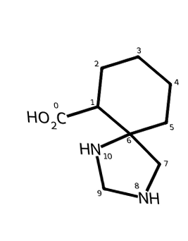 O=C(O)C1CCCCC12CNCN2